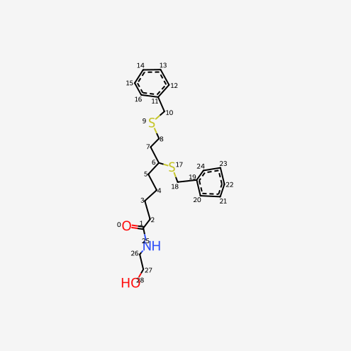 O=C(CCCCC(CCSCc1ccccc1)SCc1ccccc1)NCCO